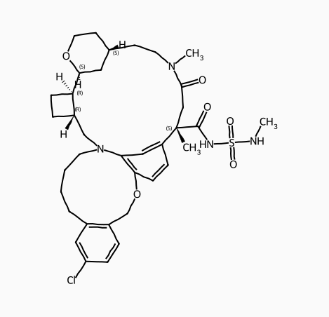 CNS(=O)(=O)NC(=O)[C@@]1(C)CC(=O)N(C)CC[C@H]2CCO[C@@H](C2)[C@@H]2CC[C@H]2CN2CCCCc3cc(Cl)ccc3COc3ccc1cc32